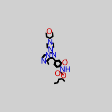 CCCC(C)OC(=O)Nc1ccc(-c2nc(N3CCN(C4CCOCC4)CC3)n3ccnc(C)c23)cc1OC